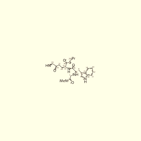 CNC(=O)CN[C@@H](Cc1c[nH]c2ccccc12)C(=O)N[C@@H](CCC(=O)C=N)C(=O)SC(C)C